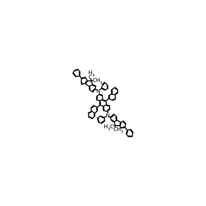 CC1(C)c2cc(-c3ccccc3)ccc2-c2ccc(N(c3ccccc3)c3ccc4c(-c5ccc6ccccc6c5)c5cc(N(c6ccccc6)c6ccc7c(c6)C(C)(C)c6cc(-c8ccccc8)ccc6-7)ccc5c(-c5ccc6ccccc6c5)c4c3)cc21